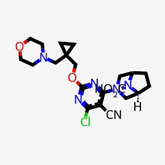 N#Cc1c(Cl)nc(OCC2(CN3CCOCC3)CC2)nc1N1CC2CC[C@@H](C1)N2C(=O)O